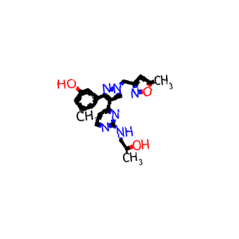 Cc1cc(O)cc(-c2nn(Cc3cc(C)on3)cc2-c2ccnc(NC[C@H](C)O)n2)c1